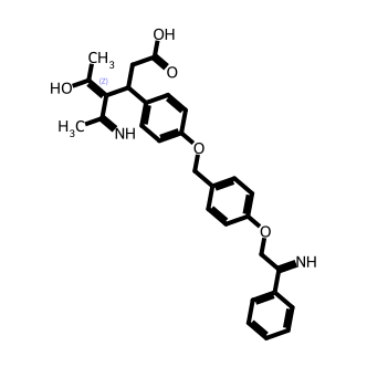 CC(=N)/C(=C(/C)O)C(CC(=O)O)c1ccc(OCc2ccc(OCC(=N)c3ccccc3)cc2)cc1